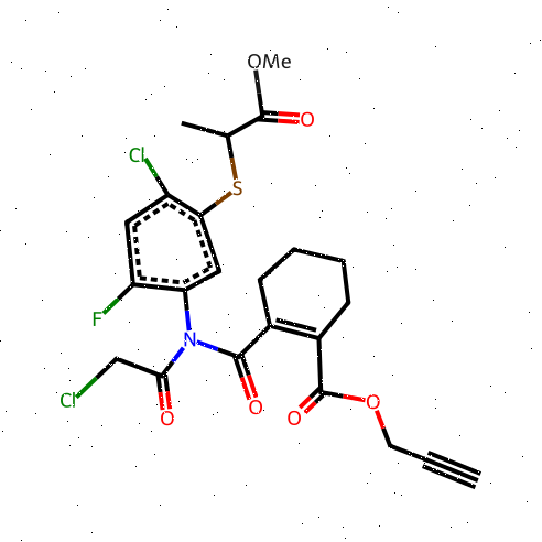 C#CCOC(=O)C1=C(C(=O)N(C(=O)CCl)c2cc(SC(C)C(=O)OC)c(Cl)cc2F)CCCC1